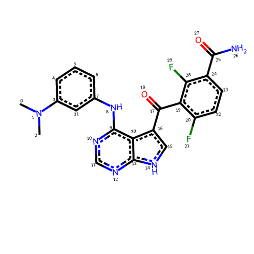 CN(C)c1cccc(Nc2ncnc3[nH]cc(C(=O)c4c(F)ccc(C(N)=O)c4F)c23)c1